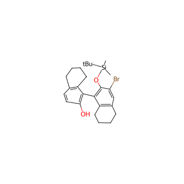 CC(C)(C)[Si](C)(C)Oc1c(Br)cc2c(c1-c1c(O)ccc3c1CCCC3)CCCC2